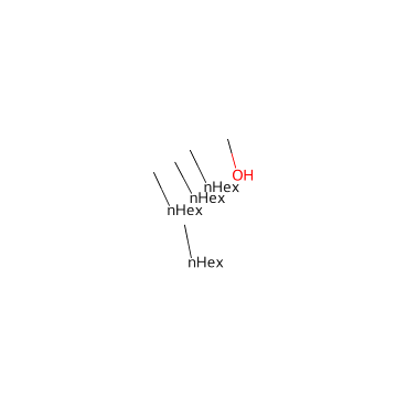 CCCCCCC.CCCCCCC.CCCCCCC.CCCCCCC.CO